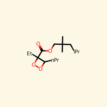 CCCC1OOC1(CC)C(=O)OCC(C)(C)CC(C)C